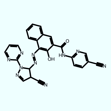 N#Cc1ccc(NC(=O)c2cc3ccccc3c(/N=N/C3C(C#N)C=NN3c3ncccn3)c2O)nc1